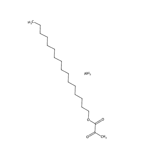 CCCCCCCCCCCCCCCCOC(=O)C(C)=O.[AlH3]